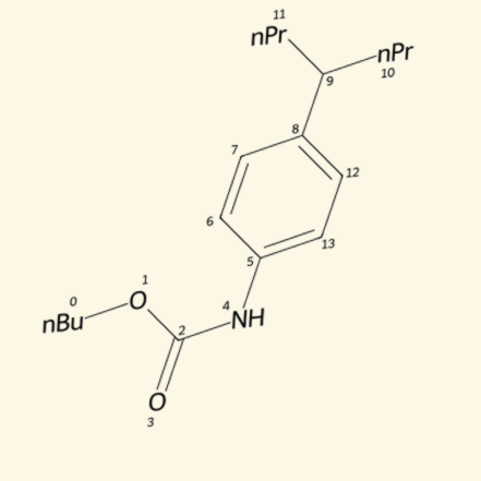 CCCCOC(=O)Nc1ccc(C(CCC)CCC)cc1